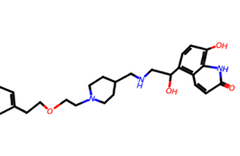 O=c1ccc2c(C(O)CNCC3CCN(CCOCCc4ccccc4)CC3)ccc(O)c2[nH]1